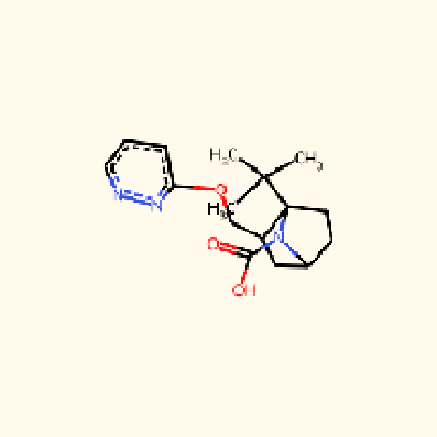 CC(C)(C)C12CCC(CC1COc1cccnn1)N2C(=O)O